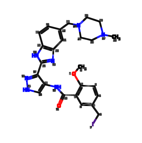 COc1ccc(CI)cc1C(=O)Nc1c[nH]nc1-c1nc2cc(CN3CCN(C)CC3)ccc2[nH]1